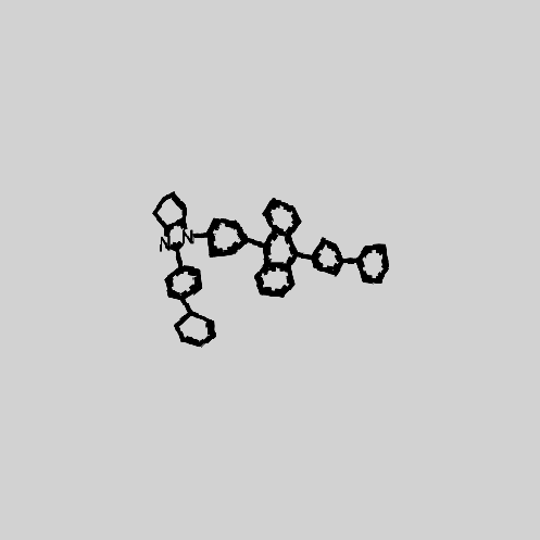 C1=CCC(c2ccc(-c3nc4c(n3-c3ccc(-c5c6ccccc6c(-c6ccc(-c7ccccc7)cc6)c6ccccc56)cc3)C=CCC4)cc2)C=C1